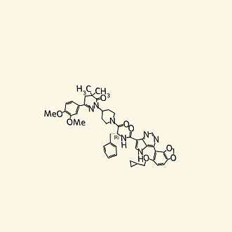 COc1ccc(C2=NN(C3CCN(C(=O)[C@@H](Cc4ccccc4)NC(=O)c4c[nH]c5c(-c6c(OCC7CC7)ccc7c6OCO7)ncnc45)CC3)C(=O)C(C)(C)C2)cc1OC